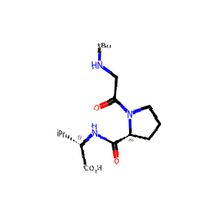 CC(C)[C@H](NC(=O)[C@@H]1CCCN1C(=O)CNC(C)(C)C)C(=O)O